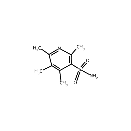 Cc1nc(C)c(S(N)(=O)=O)c(C)c1C